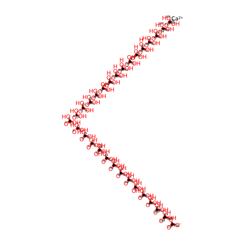 O=C(O)O.O=C(O)O.O=C(O)O.O=C(O)O.O=C(O)O.O=C(O)O.O=C(O)O.O=C(O)O.O=C(O)O.O=C(O)O.O=C(O)O.O=C(O)O.O=C(O)O.O=C(O)O.O=C(O)O.O=C(O)O.O=C(O)O.O=C(O)O.O=C(O)O.O=C(O)O.O=C(O)O.O=C(O)O.O=C(O)O.O=C(O)O.O=C(O)O.O=C(O)O.O=C(O)O.O=C(O)O.O=C(O)O.O=C([O-])[O-].[Ca+2]